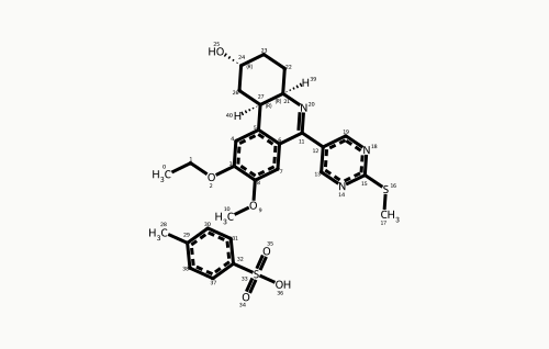 CCOc1cc2c(cc1OC)C(c1cnc(SC)nc1)=N[C@@H]1CC[C@@H](O)C[C@H]21.Cc1ccc(S(=O)(=O)O)cc1